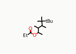 CCC(=O)OC(C)C(C)C(C)C(C)(C)C(C)(C)C